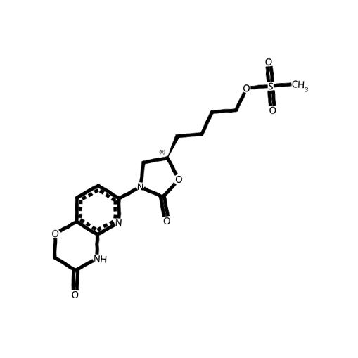 CS(=O)(=O)OCCCC[C@@H]1CN(c2ccc3c(n2)NC(=O)CO3)C(=O)O1